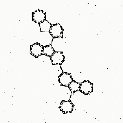 c1ccc(-n2c3ccccc3c3cc(-c4ccc5c(c4)c4ccccc4n5-c4ncnc5c4Cc4ccccc4-5)ccc32)cc1